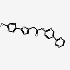 O=C(Cc1ccc(-c2ccc(C(F)(F)F)nc2)s1)Nc1ccc(-c2cnccn2)cn1